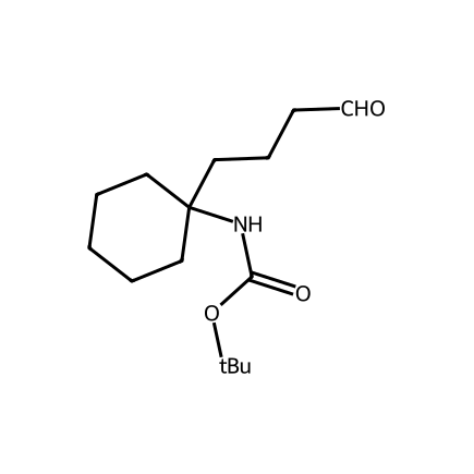 CC(C)(C)OC(=O)NC1(CCCC=O)CCCCC1